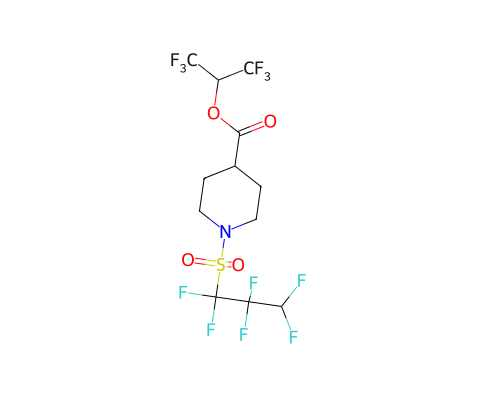 O=C(OC(C(F)(F)F)C(F)(F)F)C1CCN(S(=O)(=O)C(F)(F)C(F)(F)C(F)F)CC1